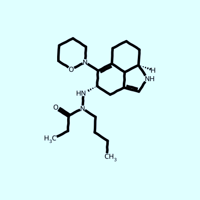 CCCCN(N[C@H]1CC2=CN[C@@H]3CCCC(=C1N1CCCCO1)C23)C(=O)CC